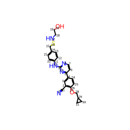 N#Cc1cc(-c2ccnc(Nc3ccc(CSNCCO)cc3)n2)ccc1OCC1CC1